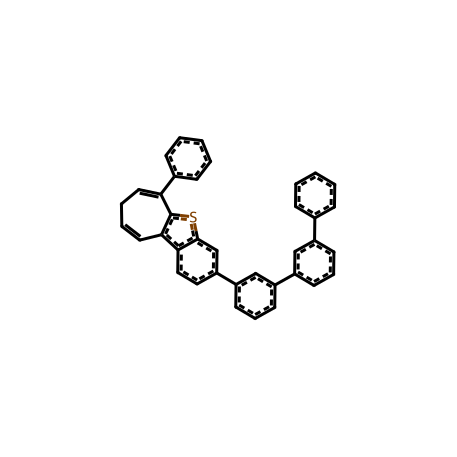 C1=Cc2c(sc3cc(-c4cccc(-c5cccc(-c6ccccc6)c5)c4)ccc23)C(c2ccccc2)=CC1